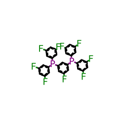 Fc1cc(F)cc(P(c2cc(F)cc(F)c2)c2cc(F)cc(P(c3cc(F)cc(F)c3)c3cc(F)cc(F)c3)c2)c1